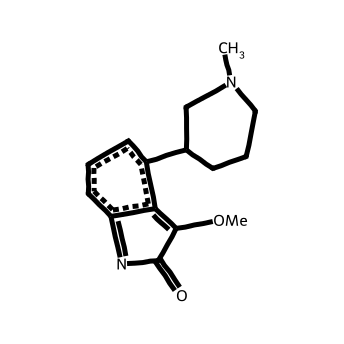 COC1=c2c(C3CCCN(C)C3)cccc2=NC1=O